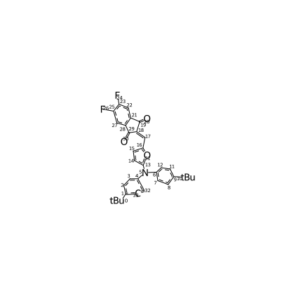 CC(C)(C)c1ccc(N(c2ccc(C(C)(C)C)cc2)c2ccc(C=C3C(=O)c4cc(F)c(F)cc4C3=O)o2)cc1